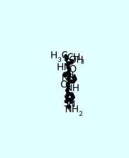 CC(C)C[C@@H](CO)NC(=O)c1cnc2c(C(=O)NCc3ccc4nc(N)sc4c3)cccn12